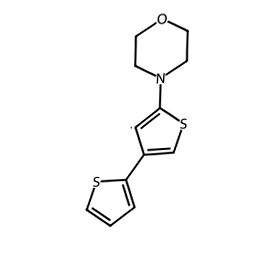 [c]1c(-c2cccs2)csc1N1CCOCC1